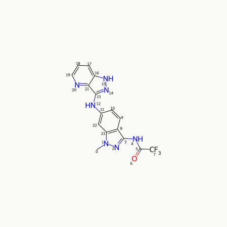 Cn1nc(NC(=O)C(F)(F)F)c2ccc(Nc3n[nH]c4cccnc34)cc21